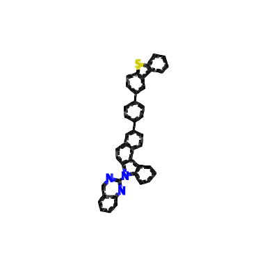 c1ccc2nc(-n3c4ccccc4c4c5ccc(-c6ccc(-c7ccc8sc9ccccc9c8c7)cc6)cc5ccc43)ncc2c1